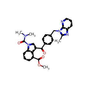 COC(=O)c1cccc2c1c(C(=O)c1ccc(Cn3c(C)nc4cccnc43)cc1)cn2C(=O)N(C)C